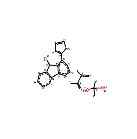 C=C(C)C(=C)C.CC(C)(O)O.[Zr][CH]1c2ccccc2-c2cccc(C3=CC=CC3)c21